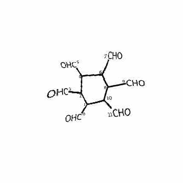 O=CC1C(C=O)C(C=O)C(C=O)C(C=O)C1C=O